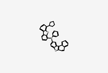 c1ccc(N(c2ccc3oc4ccc5ccccc5c4c3c2)c2cccc3c2oc2c(C4CCCC4)cccc23)cc1